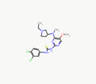 CCN1CCC(N(C)c2nc(NC(=S)Nc3ccc(Cl)c(Cl)c3)ncc2OC)C1